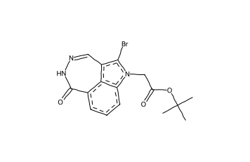 CC(C)(C)OC(=O)Cn1c(Br)c2c3c(cccc31)C(=O)NN=C2